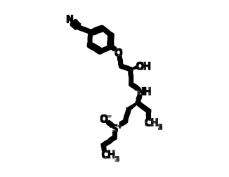 CCC[S+]([O-])CC[C@H](CC)NC[C@@H](O)COc1ccc(C#N)cc1